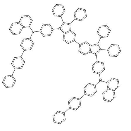 c1ccc(-c2ccc(-c3ccc(N(c4ccc(-n5c(-c6ccccc6)c(-c6ccccc6)c6cc(-c7ccc8c(c7)c(-c7ccccc7)c(-c7ccccc7)n8-c7ccc(N(c8ccc(-c9ccc(-c%10ccccc%10)cc9)cc8)c8cccc9ccccc89)cc7)ccc65)cc4)c4cccc5ccccc45)cc3)cc2)cc1